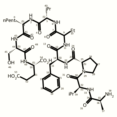 CCCCC[C@H](NC(=O)[C@@H](NC(=O)C(CC)NC(=O)[C@H](Cc1ccccc1)NC(=O)[C@@H]1CCCN1C(=O)[C@@H](NC(=O)[C@H](C)N)C(C)C)C(C)C)C(=O)N[C@@H](CO)C(=O)N[C@@H](CCC(=O)O)C(=O)O